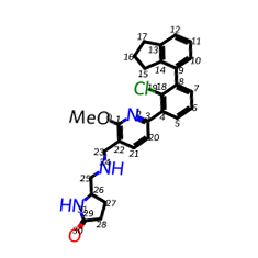 COc1nc(-c2cccc(-c3cccc4c3CCC4)c2Cl)ccc1CNCC1CCC(=O)N1